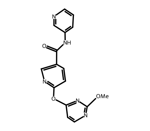 COc1nccc(Oc2ccc(C(=O)Nc3cccnc3)cn2)n1